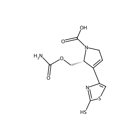 NC(=O)OC[C@H]1C(c2csc(S)n2)=CCN1C(=O)O